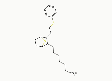 O=C(O)CCCCCCC1C2CCC(S2)C1CCSc1ccccc1